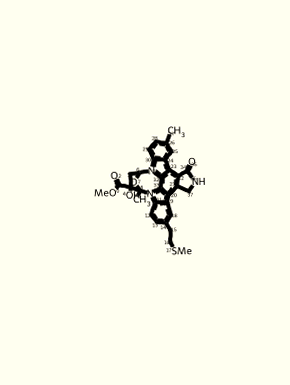 COC(=O)C1(O)CC2OC1(C)n1c3ccc(CCSC)cc3c3c4c(c5c6cc(C)ccc6n2c5c31)C(=O)NC4